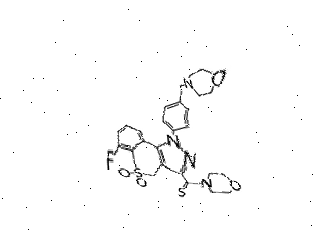 O=S1(=O)Cc2c(C(=S)N3CCOCC3)nn(-c3ccc(CN4CCOCC4)cc3)c2-c2cccc(F)c21